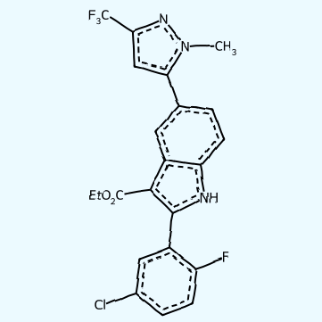 CCOC(=O)c1c(-c2cc(Cl)ccc2F)[nH]c2ccc(-c3cc(C(F)(F)F)nn3C)cc12